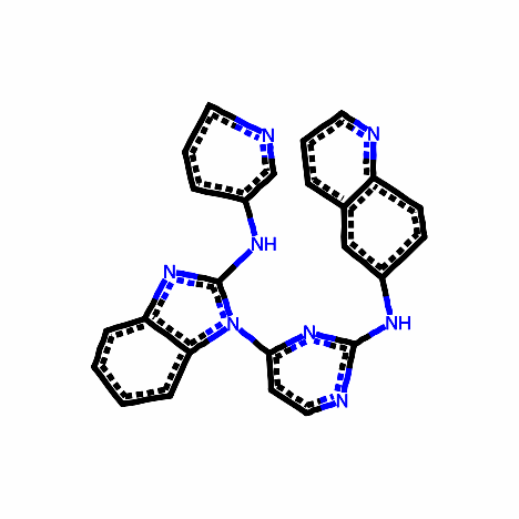 c1cncc(Nc2nc3ccccc3n2-c2ccnc(Nc3ccc4ncccc4c3)n2)c1